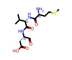 CSCC[C@H](N)C(=O)N[C@H](C(=O)N[C@H]([C]=O)CC(=O)O)C(C)C